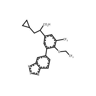 O=C(O)C(CC1CC1)c1cc(-c2ccc3nsnc3c2)c(OCC(F)(F)F)c(C(F)(F)F)c1